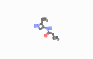 CCC(=O)NC1CNC1C